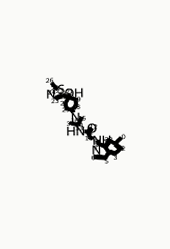 Cc1ccc2ccnc(NCC(=O)NC3CN(C4CCC(O)(c5cnc(C)s5)CC4)C3)c2c1